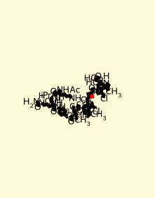 CC(=O)NC(CCCCN)C(=O)NC(C(=O)NC(CCCNC(N)=O)C(=O)Nc1ccc(COC(=O)N(C)CCN(C)C(=S)Oc2cc3c(c4c(C)c[nH]c24)C(CCl)CN3C(=O)C23CC(C(=O)N4CC(CCl)c5c4cc(OP(=O)(O)O)c4[nH]cc(C)c54)(C2)C3)cc1)C(C)C